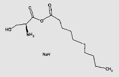 CCCCCCCCCC(=O)OC(=O)[C@@H](N)CO.[NaH]